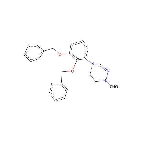 O=CN1CCN(c2cccc(OCc3ccccc3)c2OCc2ccccc2)C=N1